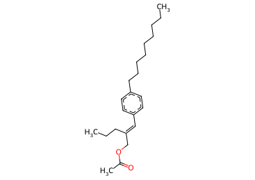 CCCCCCCCCc1ccc(/C=C(\CCC)COC(C)=O)cc1